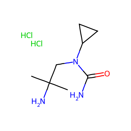 CC(C)(N)CN(C(N)=O)C1CC1.Cl.Cl